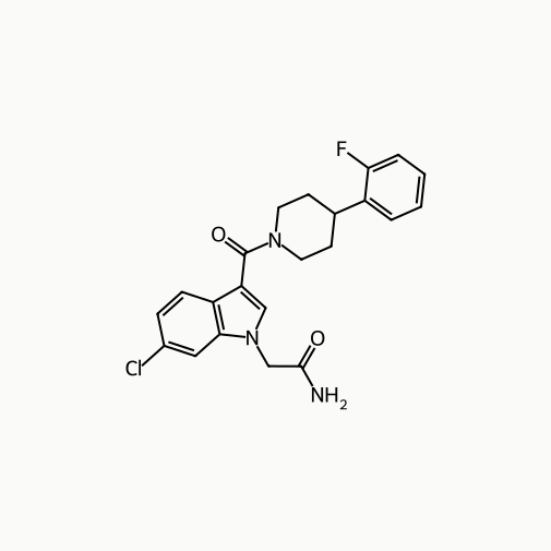 NC(=O)Cn1cc(C(=O)N2CCC(c3ccccc3F)CC2)c2ccc(Cl)cc21